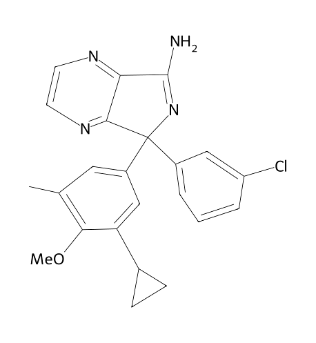 COc1c(C)cc(C2(c3cccc(Cl)c3)N=C(N)c3nccnc32)cc1C1CC1